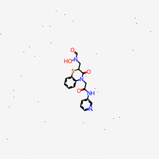 O=CN(O)CC1Sc2ccccc2N(CC(=O)Nc2cccnc2)C1=O